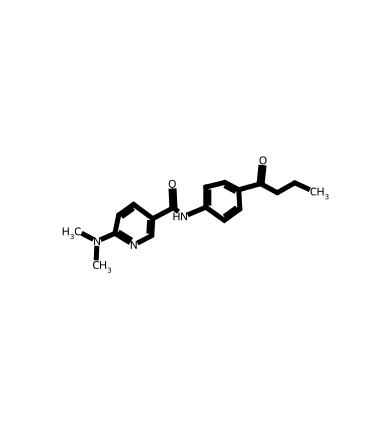 CCCC(=O)c1ccc(NC(=O)c2ccc(N(C)C)nc2)cc1